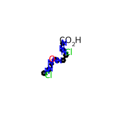 CC1CN(c2cccc(-c3ccc(Cl)c(N4CCN(Cc5cc(C(=O)O)n(C)c5)CC4)c3)c2)CCN1C(=O)c1cc(CN2CCN(c3ccccc3Cl)CC2)cn1C